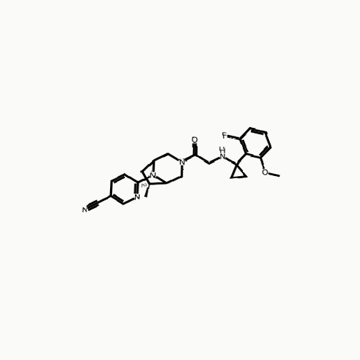 COc1cccc(F)c1C1(NCC(=O)N2CC3C[C@H](C)C(C2)N3c2ccc(C#N)cn2)CC1